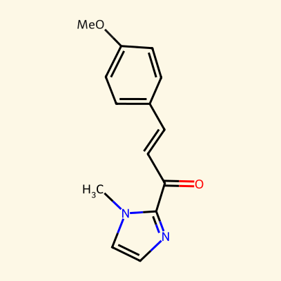 COc1ccc(C=CC(=O)c2nccn2C)cc1